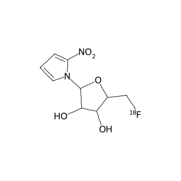 O=[N+]([O-])c1cccn1C1OC(C[18F])C(O)C1O